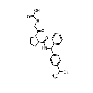 CC(C)c1ccc(C(NC(=O)C2CCCN2C(=O)CNC(=O)O)c2ccccc2)cc1